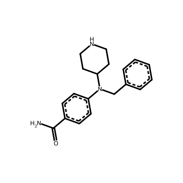 NC(=O)c1ccc(N(Cc2ccccc2)C2CCNCC2)cc1